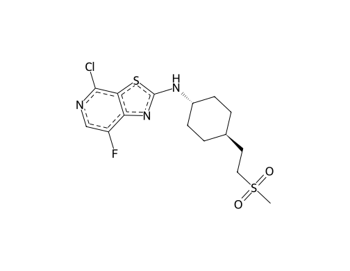 CS(=O)(=O)CC[C@H]1CC[C@H](Nc2nc3c(F)cnc(Cl)c3s2)CC1